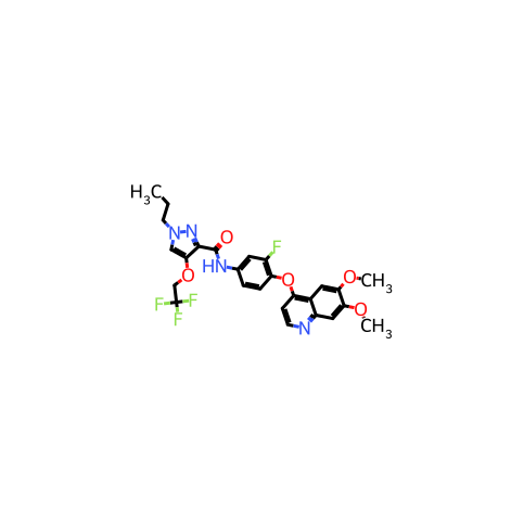 CCCn1cc(OCC(F)(F)F)c(C(=O)Nc2ccc(Oc3ccnc4cc(OC)c(OC)cc34)c(F)c2)n1